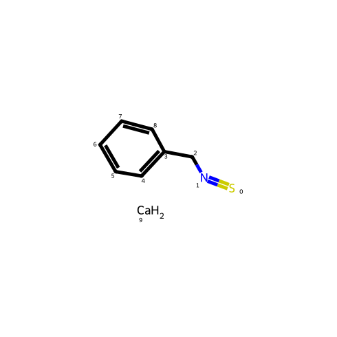 S=NCc1ccccc1.[CaH2]